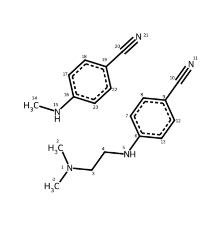 CN(C)CCNc1ccc(C#N)cc1.CNc1ccc(C#N)cc1